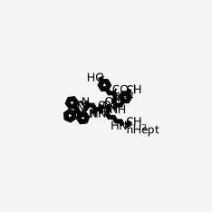 C=C(CCCCCCC)NCCCCC(NC(=O)C(N)Cc1cn(C(c2ccccc2)(c2ccccc2)c2ccccc2)cn1)C(=O)NC(Cc1ccc(Cl)cc1)C(=O)N[C@@H](Cc1ccc(O)cc1)C(=O)O